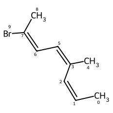 C\C=C/C(C)=C\C=C(/C)Br